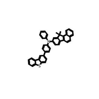 CC1(C)c2cc(N(c3ccccc3)c3ccc(-c4ccc5sc6ccccc6c5c4)cc3)ccc2-c2ccc3ccccc3c21